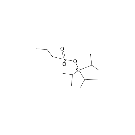 CCCS(=O)(=O)O[Si](C(C)C)(C(C)C)C(C)C